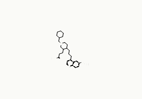 COc1ccc2nccc(CCCC3CCN(CC4CCCCC4)CC3CCC(=O)O)c2c1